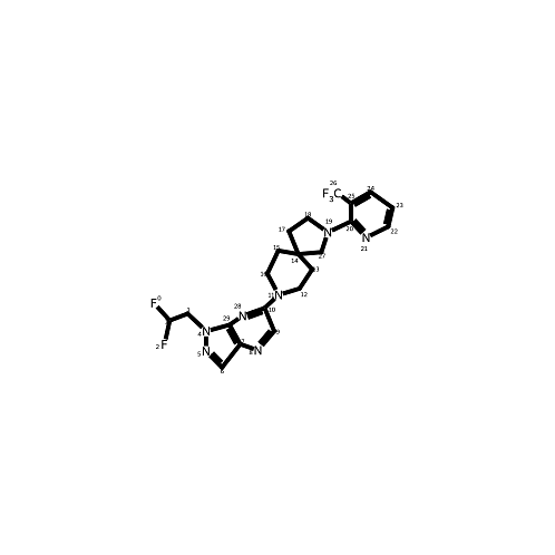 FC(F)Cn1ncc2ncc(N3CCC4(CC3)CCN(c3ncccc3C(F)(F)F)C4)nc21